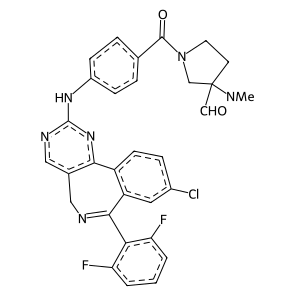 CNC1(C=O)CCN(C(=O)c2ccc(Nc3ncc4c(n3)-c3ccc(Cl)cc3C(c3c(F)cccc3F)=NC4)cc2)C1